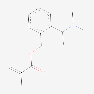 C=C(C)C(=O)OCc1ccccc1C(C)N(C)C